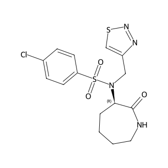 O=C1NCCCC[C@H]1N(Cc1csnn1)S(=O)(=O)c1ccc(Cl)cc1